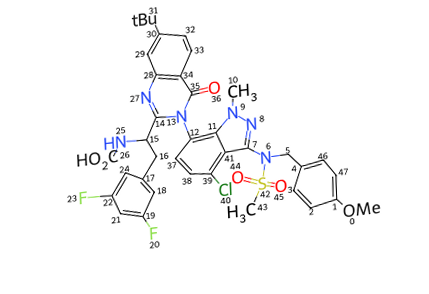 COc1ccc(CN(c2nn(C)c3c(-n4c(C(Cc5cc(F)cc(F)c5)NC(=O)O)nc5cc(C(C)(C)C)ccc5c4=O)ccc(Cl)c23)S(C)(=O)=O)cc1